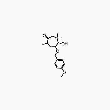 COc1ccc(COC2CC(C)C(=O)CC(C)(C)C2O)cc1